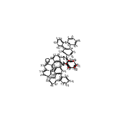 c1ccc(-c2ccc(N(c3ccccc3)c3ccc4oc5cc6ccccc6cc5c4c3N(c3ccccc3)c3ccc(-c4ccccc4)c(-c4ccccc4)c3)cc2-c2ccccc2)cc1